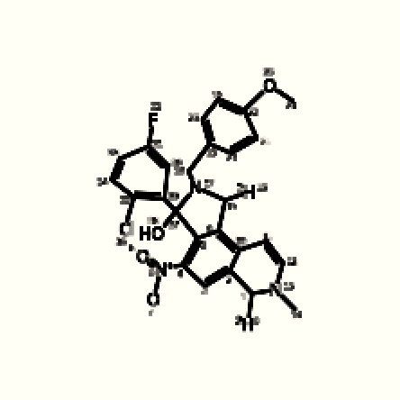 [2H]C1c2cc([N+](=O)[O-])c3c(c2C=CN1C)C([2H])N(Cc1ccc(OC)cc1)C3(O)c1cc(F)ccc1Cl